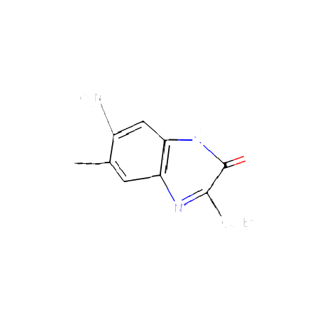 CCOC(=O)c1nc2cc(C)c([N+](=O)[O-])cc2[nH]c1=O